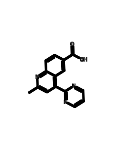 Cc1cc(-c2ncccn2)c2cc(C(=O)O)ccc2n1